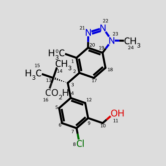 Cc1c([C@H](c2ccc(Cl)c(CO)c2)C(C)(C)C(=O)O)ccc2c1nnn2C